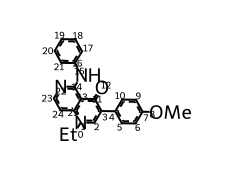 CCn1cc(-c2ccc(OC)cc2)c(=O)c2c(Nc3ccccc3)nccc21